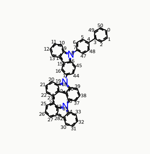 c1ccc(-c2ccc(-n3c4ccccc4c4cc(-n5c6cccc7c8cccc9c%10ccccc%10n(c%10cccc5c%10c76)c89)ccc43)cc2)cc1